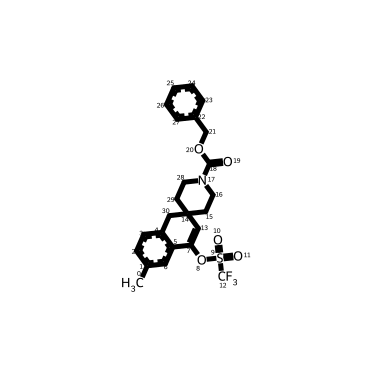 Cc1ccc2c(c1)C(OS(=O)(=O)C(F)(F)F)=CC1(CCN(C(=O)OCc3ccccc3)CC1)C2